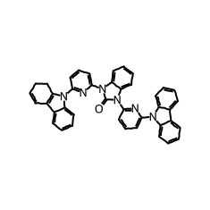 O=c1n(-c2cccc(-n3c4c(c5ccccc53)C=CCC4)n2)c2ccccc2n1-c1cccc(-n2c3ccccc3c3ccccc32)n1